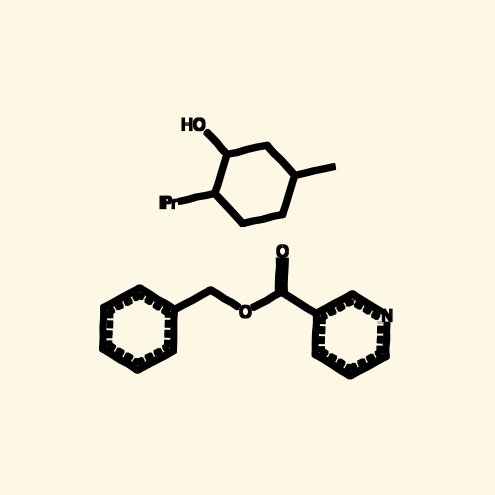 CC1CCC(C(C)C)C(O)C1.O=C(OCc1ccccc1)c1cccnc1